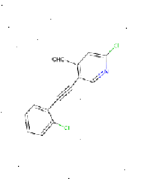 O=Cc1cc(Cl)ncc1C#Cc1ccccc1Cl